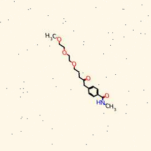 CNC(=O)c1ccc(CC(=O)CCCOCCOCCOC)cc1